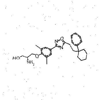 Cc1cc(-c2noc(CCC3(c4ccccc4)CCCCC3)n2)cc(C)c1OC[C@@H](N)CO